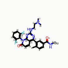 CCC(C)NC(=O)c1ccc(C)c(-c2nc(NCCN(C)C)nc3c2ccc(=O)n3-c2c(F)cccc2F)c1